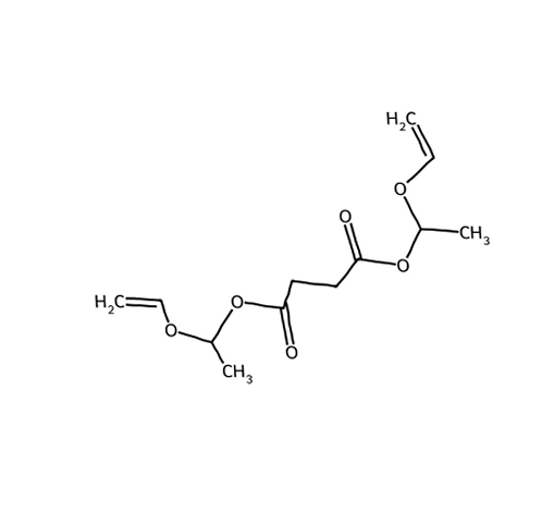 C=COC(C)OC(=O)CCC(=O)OC(C)OC=C